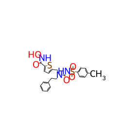 Cc1ccc(S(=O)(=O)NC(=O)N(CCc2ccccc2)Cc2ccc(C(=O)NO)s2)cc1